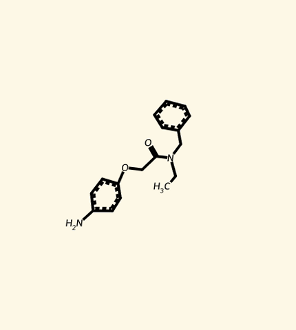 CCN(Cc1ccccc1)C(=O)COc1ccc(N)cc1